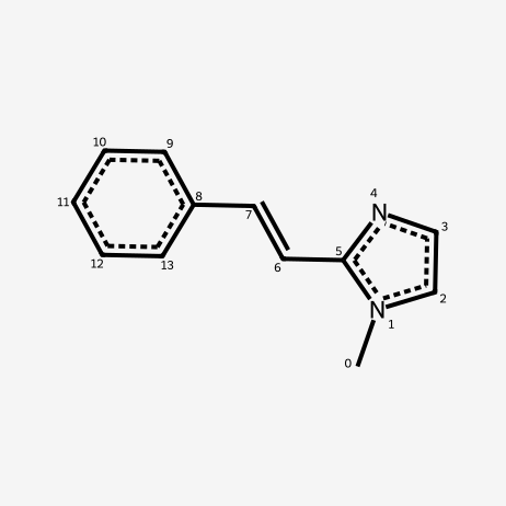 Cn1ccnc1C=Cc1ccccc1